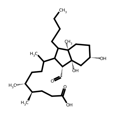 CCCCC1C(C(C)CC[C@@H](C)[C@H](C)CCC(=O)O)[C@@H](C=O)[C@]2(O)C[C@@H](O)CC[C@]12C